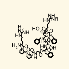 N=C(N)NCCC[C@H](NC(=O)[C@H](Cc1ccccc1)NC(=O)[C@@H](Cc1ccccc1)NC(=O)[C@H](CO)NC(=O)[C@H](Cc1ccccc1)NC(=O)CNC(=O)[C@@H]1CCCN1C(=O)[C@@H]1CCCN1C(=O)[C@@H](N)CCCNC(=N)N)C(=O)O